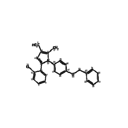 Cc1c(C(=O)O)nc(-c2ccccc2Cl)n1-c1ccc(OCc2ccccc2)cc1